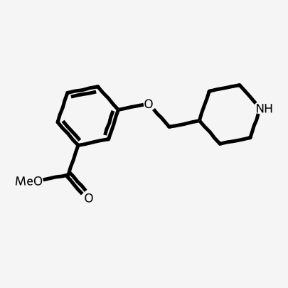 COC(=O)c1cccc(OCC2CCNCC2)c1